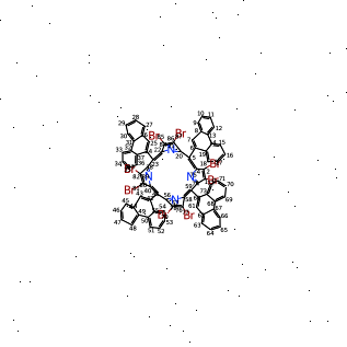 BrC1=C(Br)C2=C(c3cc4ccccc4c4ccccc34)C3=NC(=C(c4cc5ccccc5c5ccccc45)C4=NC(=C(c5cc6ccccc6c6ccccc56)C5=NC(=C(c6cc7ccccc7c7ccccc67)C1=N2)C(Br)=C5Br)C(Br)=C4Br)C(Br)=C3Br